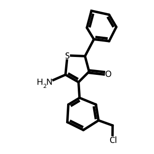 NC1=C(c2cccc(CCl)c2)C(=O)C(c2ccccc2)S1